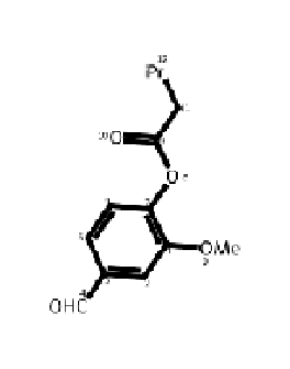 COc1cc(C=O)ccc1OC(=O)CC(C)C